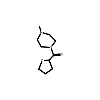 CN1CCN(C(=O)C2CCCO2)CC1